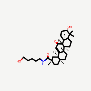 CC1(C)C2CC[C@]3(C)[C@H](C(=O)C=C4[C@@H]5C[C@@](C)(C(=O)NCCCCCO)CC[C@]5(C)CC[C@]43C)[C@@]2(C)CC[C@@H]1O